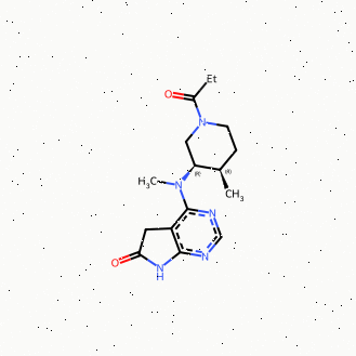 CCC(=O)N1CC[C@@H](C)[C@@H](N(C)c2ncnc3c2CC(=O)N3)C1